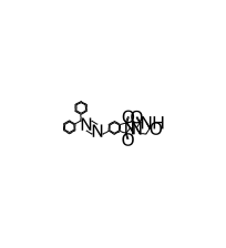 O=C1CCN(N2C(=O)c3ccc(CN4CCN(C(c5ccccc5)c5ccccc5)CC4)cc3C2=O)C(=O)N1